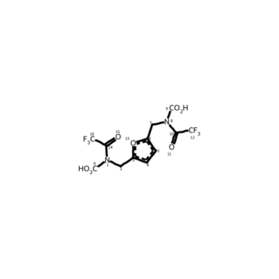 O=C(O)N(Cc1ccc(CN(C(=O)O)C(=O)C(F)(F)F)o1)C(=O)C(F)(F)F